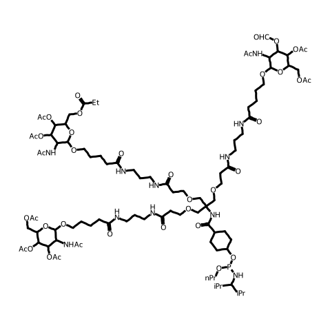 CCCOP(NC(C(C)C)C(C)C)OC1CCC(C(=O)NC(COCCC(=O)NCCCNC(=O)CCCCOC2OC(COC(C)=O)C(OC(C)=O)C(OC=O)C2NC(C)=O)(COCCC(=O)NCCCNC(=O)CCCCOC2OC(COC(C)=O)C(OC(C)=O)C(OC(C)=O)C2NC(C)=O)COCCC(=O)NCCCNC(=O)CCCCOC2OC(COC(=O)CC)C(OC(C)=O)C(OC(C)=O)C2NC(C)=O)CC1